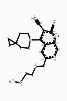 C#Cc1c(N2CCC3(CC2)CC3)c2cc(COCCOC)ncc2[nH]c1=O